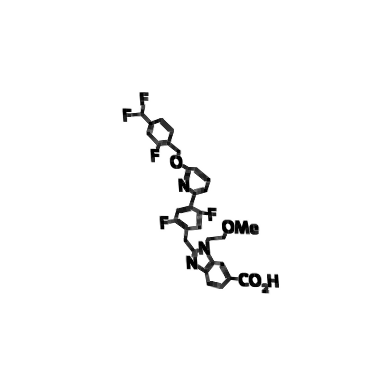 COCCn1c(Cc2cc(F)c(-c3cccc(OCc4ccc(C(F)F)cc4F)n3)cc2F)nc2ccc(C(=O)O)cc21